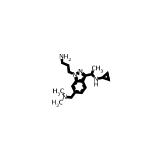 CC(NC1CC1)c1nn(CCCN)c2cc(CN(C)C)ccc12